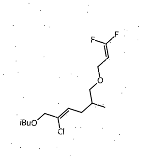 CC(C)COC/C(Cl)=C/CC(C)COCC=C(F)F